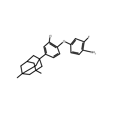 CC12CC3CC(C)(C1)CC(c1ccc(Oc4ccc(N)c(F)c4)c(Cl)c1)(C3)C2